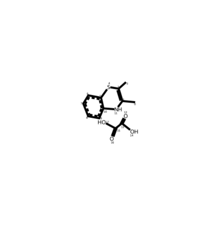 CC1=C(C)Sc2ccccc2N1.O=C(O)C(=O)O